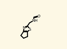 O=CNCc1nc2c(s1)CCC2